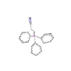 N#CCC=P(c1ccccc1)(c1ccccc1)c1ccccc1